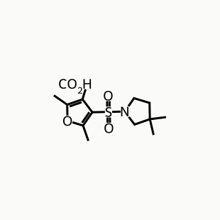 Cc1oc(C)c(S(=O)(=O)N2CCC(C)(C)C2)c1C(=O)O